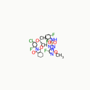 C#CC(C)Oc1cc(N2C(=O)C3=C(CCCC3)C2=O)c(F)cc1Cl.COc1ncc(F)c2nc(S(=O)(=O)Nc3c(F)cccc3F)nn12